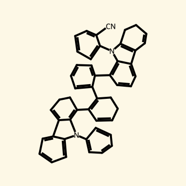 N#Cc1ccccc1-n1c2c(c3cccc(-c4ccccc4C4=C(C5=c6c(c7ccccc7n6-c6ccccc6)=CCC5)C=CCC4)c31)C=CCC2